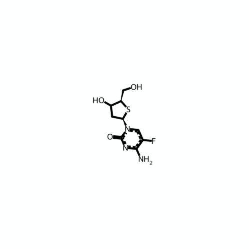 Nc1nc(=O)n([C@H]2CC(O)[C@@H](CO)S2)cc1F